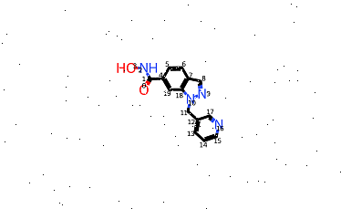 O=C(NO)c1ccc2cnn(Cc3cccnc3)c2c1